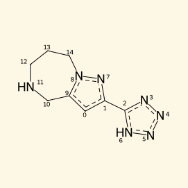 c1c(-c2nnn[nH]2)nn2c1CNCCC2